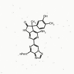 CCCCCc1nc(-c2nc(N)c3c(n2)NC(=O)C3(C)c2ccc(C)c(O)c2)cn2ncnc12